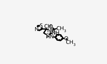 COc1ccc(NC2(NC(C)=O)NC(C)(c3cncs3)CS2)cc1